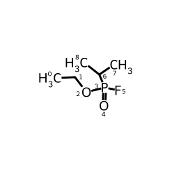 CCOP(=O)(F)C(C)C